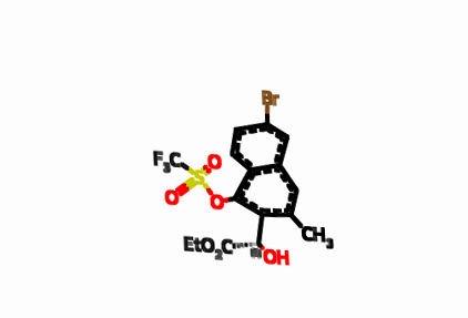 CCOC(=O)[C@@H](O)c1c(C)cc2cc(Br)ccc2c1OS(=O)(=O)C(F)(F)F